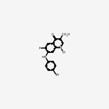 CCn1cc(C(=O)O)c(=O)c2cc(F)c(Nc3ccc(C(C)C)cc3)cc21